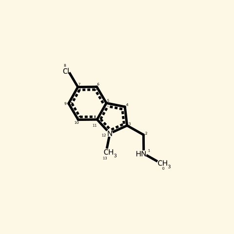 CNCc1cc2cc(Cl)ccc2n1C